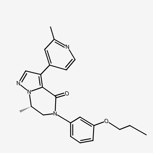 CCCOc1cccc(N2C[C@H](C)n3ncc(-c4ccnc(C)c4)c3C2=O)c1